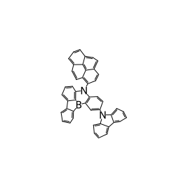 c1ccc2c(c1)B1c3cc(-n4c5ccccc5c5ccccc54)ccc3N(c3ccc4ccc5cccc6ccc3c4c56)c3cccc-2c31